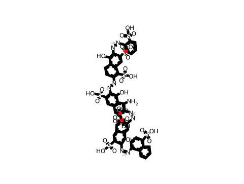 Nc1c(/N=N\c2cc3c(O)c(/N=N\c4ccc(S(=O)(=O)O)c5ccccc45)c(S(=O)(=O)O)cc3cc2S(=O)(=O)O)c(S(=O)(=O)O)cc2cc(S(=O)(=O)O)c(N=Nc3ccc4c(O)c(/N=N\c5ccccc5S(=O)(=O)O)c(S(=O)(=O)O)cc4c3S(=O)(=O)O)c(O)c12